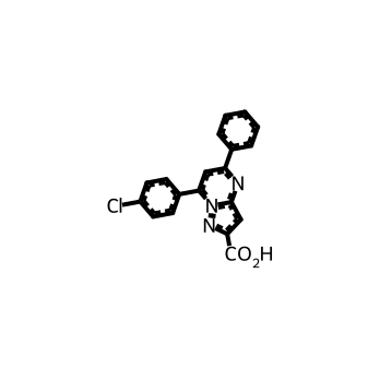 O=C(O)c1cc2nc(-c3ccccc3)cc(-c3ccc(Cl)cc3)n2n1